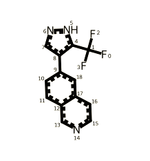 FC(F)(F)c1[nH]ncc1-c1ccc2cnccc2c1